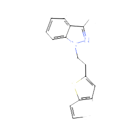 CC/C=C\c1ccc(CCn2nc(CC)c3ccccc32)s1